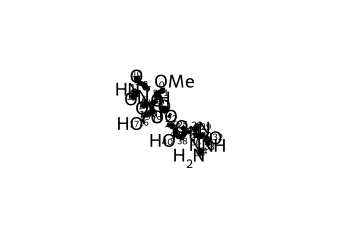 COCCOC1[C@H](n2ccc(=O)[nH]c2=O)O[C@H](CO)[C@H]1O[PH](=O)OCC1O[C@@H](n2cnc3c(=O)[nH]c(N)nc32)C[C@@H]1O